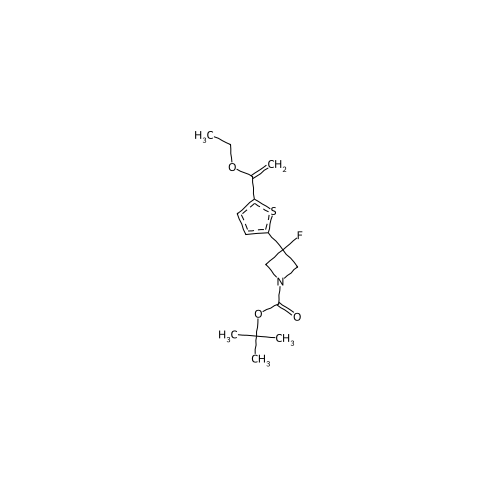 C=C(OCC)c1ccc(C2(F)CN(C(=O)OC(C)(C)C)C2)s1